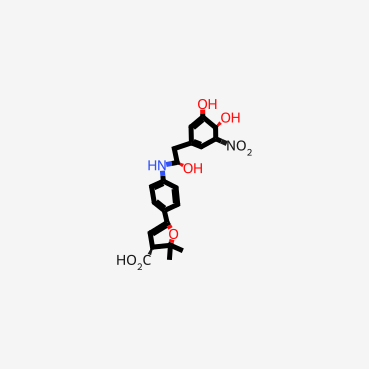 CC1(C)OC(c2ccc(N[C@H](O)CC3=CC([N+](=O)[O-])[C@H](O)C(O)=C3)cc2)=C[C@@H]1C(=O)O